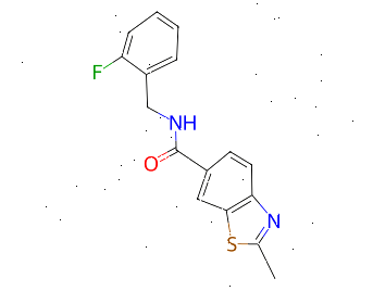 Cc1nc2ccc(C(=O)NCc3ccccc3F)cc2s1